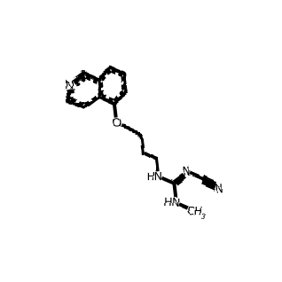 CNC(=NC#N)NCCCOc1cccc2cnccc12